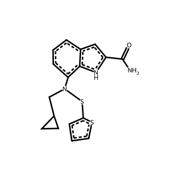 NC(=O)c1cc2cccc(N(CC3CC3)Sc3cccs3)c2[nH]1